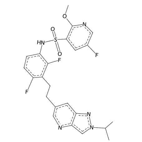 COc1ncc(F)cc1S(=O)(=O)Nc1ccc(F)c(CCc2cnc3cn(C(C)C)nc3c2)c1F